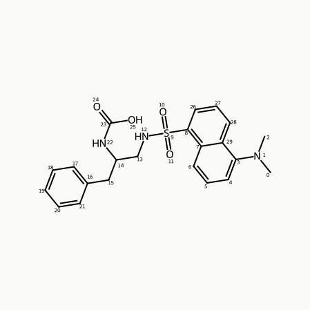 CN(C)c1cccc2c(S(=O)(=O)NCC(Cc3ccccc3)NC(=O)O)cccc12